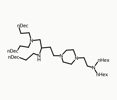 CCCCCCCCCCCCNC(CCN1CCN(CCN(CCCCCC)CCCCCC)CC1)CN(CCCCCCCCCCCC)CCCCCCCCCCCC